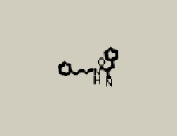 N#CC(=Cc1ccccc1)C(=O)NCCCCc1ccccc1